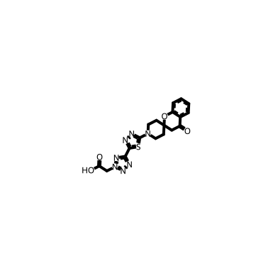 O=C(O)Cn1nnc(-c2nnc(N3CCC4(CC3)CC(=O)c3ccccc3O4)s2)n1